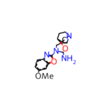 COc1ccc2nc(N3CC4(CN5CCC4CC5)OC3N)oc2c1